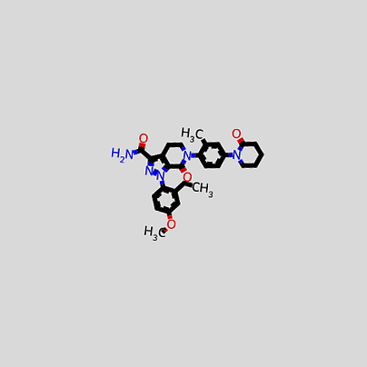 CCc1cc(OC)ccc1-n1nc(C(N)=O)c2c1C(=O)N(c1ccc(N3CCCCC3=O)cc1C)CC2